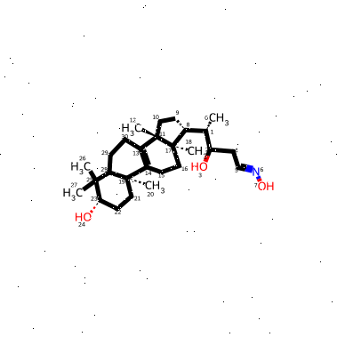 C[C@H](C(O)C/C=N/O)[C@H]1CC[C@@]2(C)C3=C(CC[C@]12C)[C@@]1(C)CC[C@H](O)C(C)(C)C1CC3